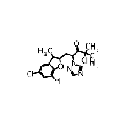 CC1c2cc(Cl)cc(Cl)c2OC1CC(C(=O)C(C)(C)C)n1cncn1